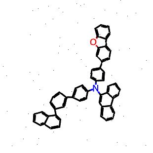 c1cc(-c2ccc(N(c3ccc(-c4ccc5c(c4)oc4ccccc45)cc3)c3cc4ccccc4c4ccccc34)cc2)cc(-c2cccc3ccccc23)c1